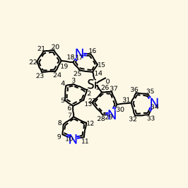 C[Si](c1cccc(-c2ccncc2)c1)(c1ccnc(-c2ccccc2)c1)c1ccnc(-c2ccncc2)c1